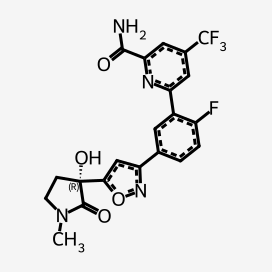 CN1CC[C@@](O)(c2cc(-c3ccc(F)c(-c4cc(C(F)(F)F)cc(C(N)=O)n4)c3)no2)C1=O